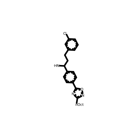 CCCCCCCCc1noc(-c2ccc(C([NH])CCc3cccc(Cl)c3)cc2)n1